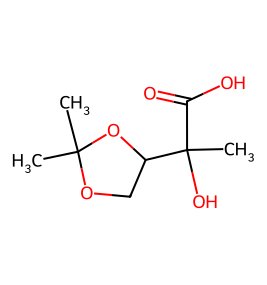 CC1(C)OCC(C(C)(O)C(=O)O)O1